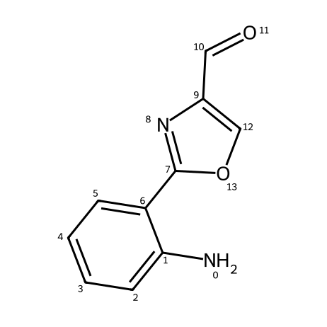 Nc1ccccc1-c1nc(C=O)co1